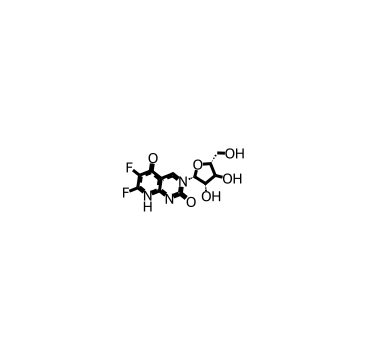 O=c1c(F)c(F)[nH]c2nc(=O)n([C@@H]3O[C@H](CO)C(O)[C@@H]3O)cc12